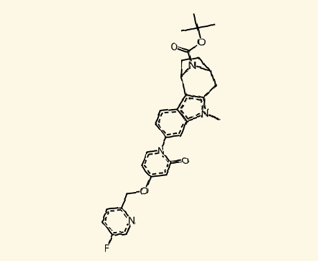 Cn1c2c(c3ccc(-n4ccc(OCc5ccc(F)cn5)cc4=O)cc31)C1CCC(C2)N1C(=O)OC(C)(C)C